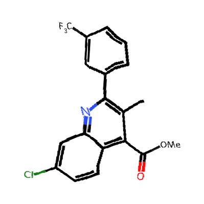 COC(=O)c1c(C)c(-c2cccc(C(F)(F)F)c2)nc2cc(Cl)ccc12